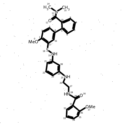 COc1ccc(-c2ccccc2C(=O)N(C)C)cc1SNc1cccc(NCCNC(=O)c2ccccc2OC)c1